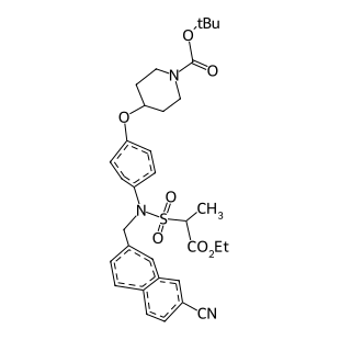 CCOC(=O)C(C)S(=O)(=O)N(Cc1ccc2ccc(C#N)cc2c1)c1ccc(OC2CCN(C(=O)OC(C)(C)C)CC2)cc1